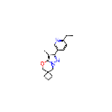 CCc1ccc(-c2nn3c(c2C)OCC2(CCC2)C3)cn1